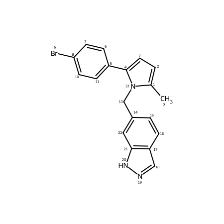 Cc1[c]cc(-c2ccc(Br)cc2)n1Cc1ccc2cn[nH]c2c1